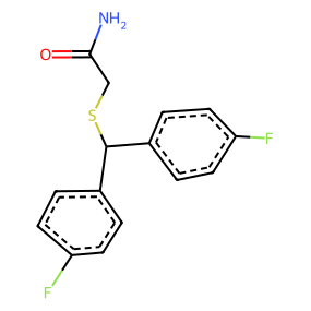 NC(=O)CSC(c1ccc(F)cc1)c1ccc(F)cc1